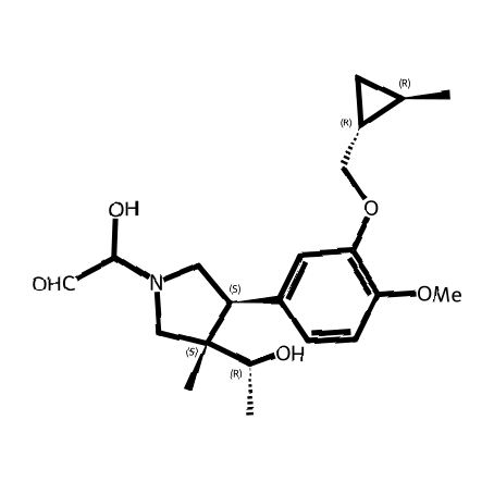 COc1ccc([C@@H]2CN(C(O)C=O)C[C@@]2(C)[C@@H](C)O)cc1OC[C@@H]1C[C@H]1C